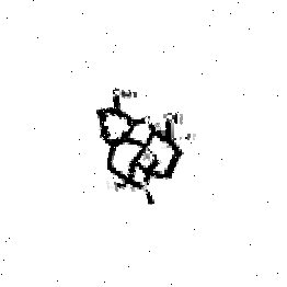 COc1ccc2c3c1O[C@H]1[C@@H](O)C=CC45C[C@]31C4[C@@H](C2)N5C